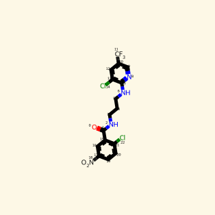 O=C(NCCCNc1ncc(C(F)(F)F)cc1Cl)c1cc([N+](=O)[O-])ccc1Cl